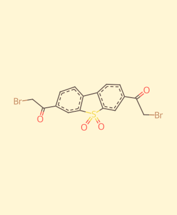 O=C(CBr)c1ccc2c(c1)S(=O)(=O)c1cc(C(=O)CBr)ccc1-2